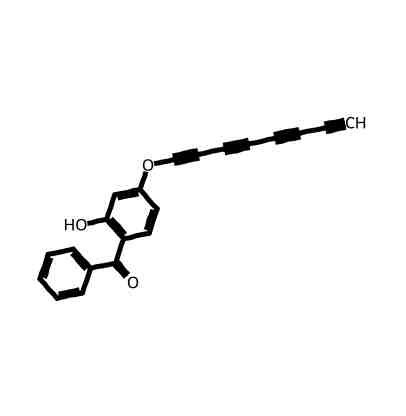 C#CC#CC#CC#COc1ccc(C(=O)c2ccccc2)c(O)c1